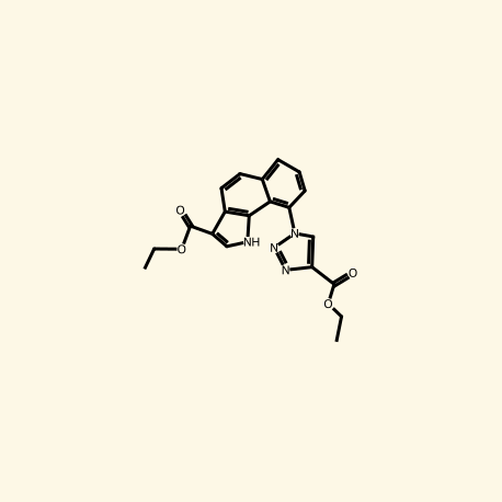 CCOC(=O)c1cn(-c2cccc3ccc4c(C(=O)OCC)c[nH]c4c23)nn1